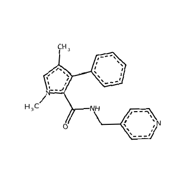 Cc1cn(C)c(C(=O)NCc2ccncc2)c1-c1ccccc1